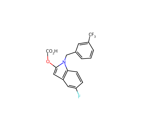 O=C(O)Oc1cc2cc(F)ccc2n1Cc1cccc(C(F)(F)F)c1